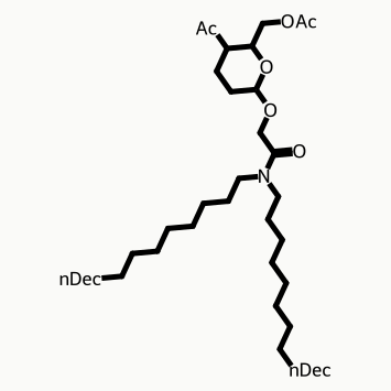 CCCCCCCCCCCCCCCCCCN(CCCCCCCCCCCCCCCCCC)C(=O)COC1CCC(C(C)=O)C(COC(C)=O)O1